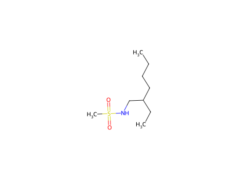 CCCCC(CC)CNS(C)(=O)=O